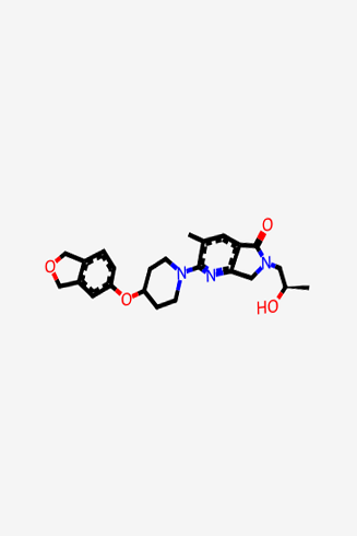 Cc1cc2c(nc1N1CCC(Oc3ccc4c(c3)COC4)CC1)CN(C[C@@H](C)O)C2=O